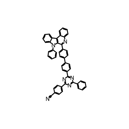 N#Cc1ccc(-c2nc(-c3ccccc3)nc(-c3ccc(-c4ccc(-c5nc6ccccc6c6c7ccccc7n(-c7ccccc7)c56)cc4)cc3)n2)cc1